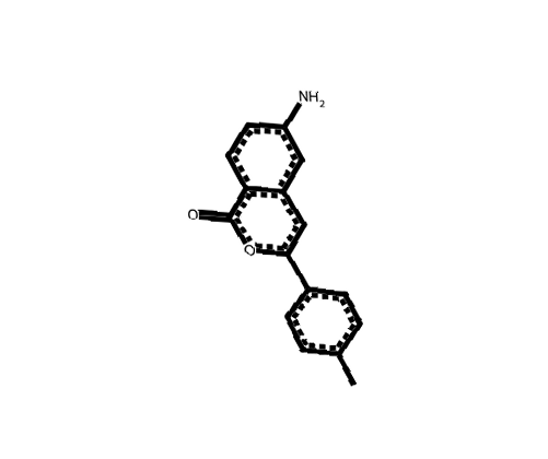 Cc1ccc(-c2cc3cc(N)ccc3c(=O)o2)cc1